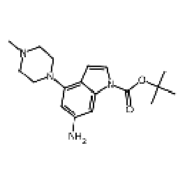 CN1CCN(c2cc(N)cc3c2ccn3C(=O)OC(C)(C)C)CC1